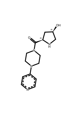 O=C([C@H]1C[C@@H](O)CN1)N1CCN(c2ccncc2)CC1